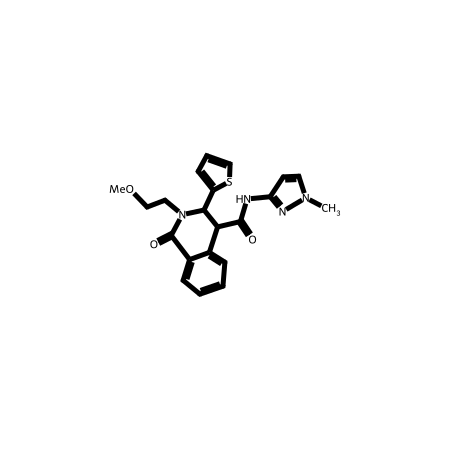 COCCN1C(=O)c2ccccc2C(C(=O)Nc2ccn(C)n2)C1c1cccs1